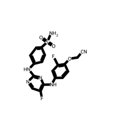 N#CCOc1ccc(Nc2nc(Nc3ccc(S(N)(=O)=O)cc3)ncc2F)cc1F